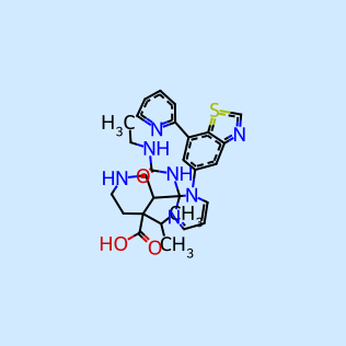 CCNC(=O)NC1(C2CNCCC2(C(=O)O)C(C)C)N=CC=CN1c1cc(-c2ccccn2)c2scnc2c1